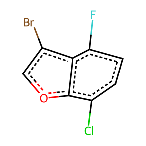 Fc1ccc(Cl)c2occ(Br)c12